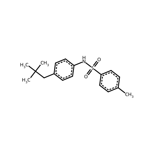 Cc1ccc(S(=O)(=O)Nc2ccc(CC(C)(C)C)cc2)cc1